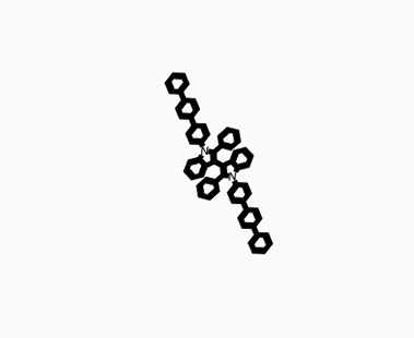 c1ccc(-c2ccc(-c3ccc(-n4c(-c5ccccc5)c(-c5c(-c6ccccc6)n(-c6ccc(-c7ccc(-c8ccccc8)cc7)cc6)c6ccccc56)c5ccccc54)cc3)cc2)cc1